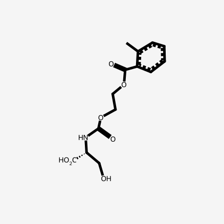 Cc1ccccc1C(=O)OCCOC(=O)N[C@H](CO)C(=O)O